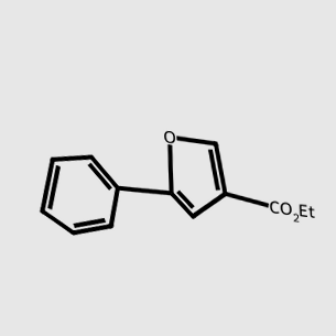 CCOC(=O)c1coc(-c2ccccc2)c1